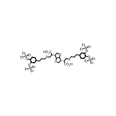 CC[Si](CC)(CC)Oc1ccc(CCCSCC(C(=O)O)[C@H]2COC3C2OC[C@H]3C(CSCCCc2ccc(O[Si](CC)(CC)CC)c(O[Si](CC)(CC)CC)c2)C(=O)O)cc1O[Si](CC)(CC)CC